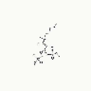 CCCCCC(C)(C)[N+]([O-])=Cc1oc(S(=O)(=O)NC)cc1S(=O)(=O)NC